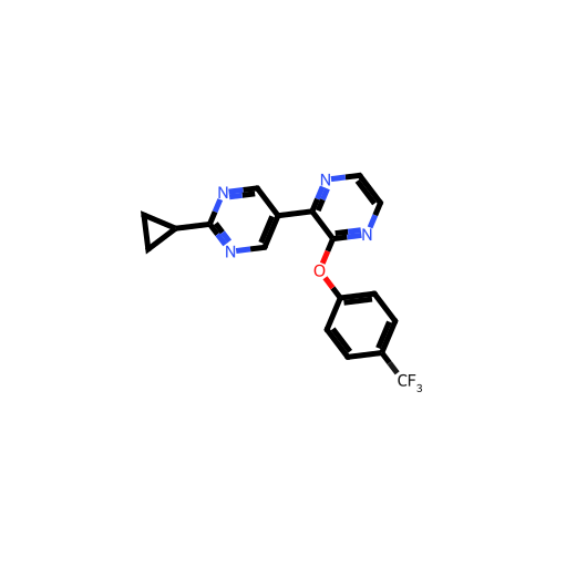 FC(F)(F)c1ccc(Oc2nccnc2-c2cnc(C3CC3)nc2)cc1